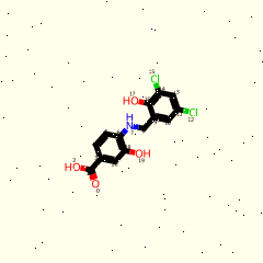 O=C(O)c1ccc(NCc2cc(Cl)cc(Cl)c2O)c(O)c1